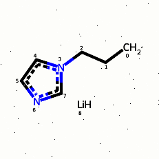 [CH2]CCn1ccnc1.[LiH]